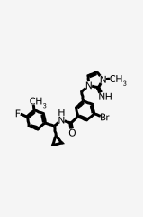 Cc1cc(C(NC(=O)c2cc(Br)cc(Cn3ccn(C)c3=N)c2)C2CC2)ccc1F